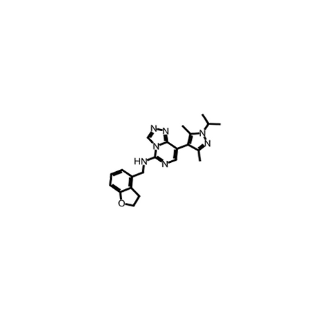 Cc1nn(C(C)C)c(C)c1-c1cnc(NCc2cccc3c2CCO3)n2cnnc12